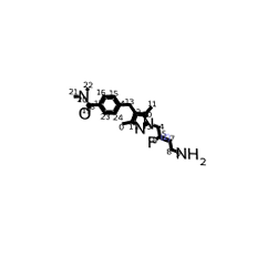 Cc1nn(C/C(F)=C/CN)c(C)c1Cc1ccc(C(=O)N(C)C)cc1